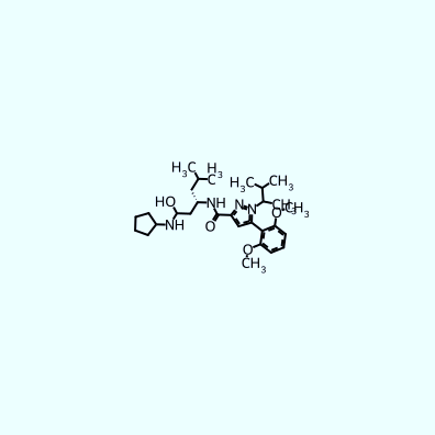 COc1cccc(OC)c1-c1cc(C(=O)N[C@@H](CC(C)C)CC(O)NC2CCCC2)nn1C(C)C(C)C